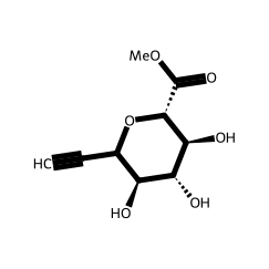 C#CC1O[C@H](C(=O)OC)[C@@H](O)[C@H](O)[C@H]1O